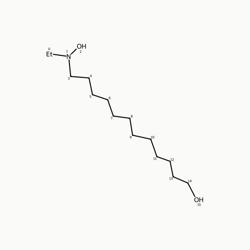 CCN(O)CCCCCCCCCCCCO